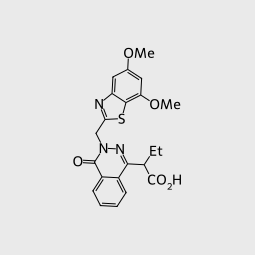 CCC(C(=O)O)c1nn(Cc2nc3cc(OC)cc(OC)c3s2)c(=O)c2ccccc12